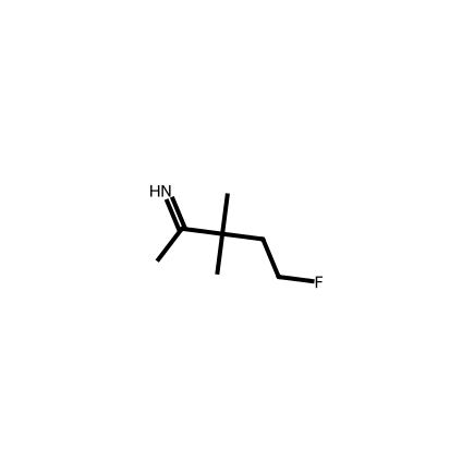 CC(=N)C(C)(C)CCF